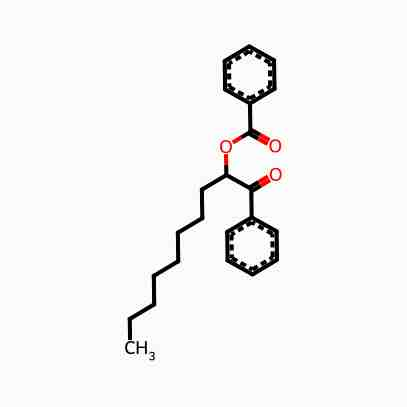 CCCCCCCCC(OC(=O)c1ccccc1)C(=O)c1ccccc1